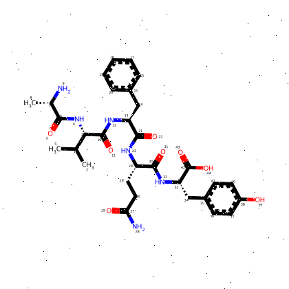 CC(C)[C@H](NC(=O)[C@H](C)N)C(=O)N[C@@H](Cc1ccccc1)C(=O)N[C@@H](CCC(N)=O)C(=O)N[C@@H](Cc1ccc(O)cc1)C(=O)O